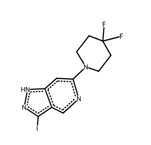 FC1(F)CCN(c2cc3[nH]nc(I)c3cn2)CC1